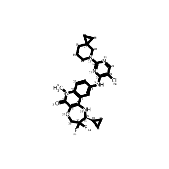 Cn1c(=O)c2c(c3cc(Nc4nc(N5CCCC6(CC6)C5)ncc4Cl)ccc31)N[C@@H](C1CC1)C(F)(F)CO2